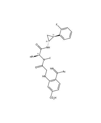 CCC[C@@H](C(=O)N[C@@H]1C[C@H]1c1ccccc1F)N(I)C(=O)CNc1cc(C(=O)O)ccc1C(=N)C(C)=O